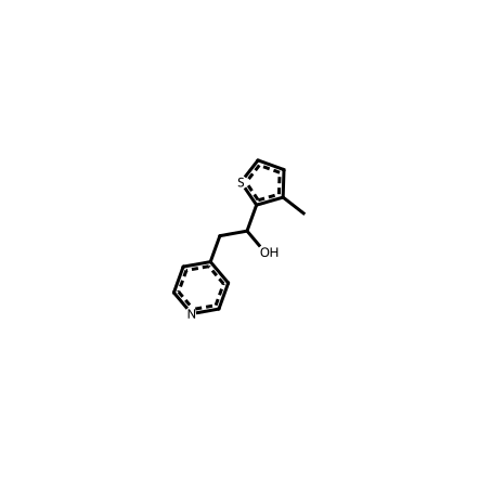 Cc1ccsc1C(O)Cc1ccncc1